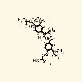 CC(C)OSc1ccc(S(=O)(=O)OC(C)N(C)c2ccc(S(=O)(=O)OC(C)C)c(N(C)C)c2)cc1N(C)C